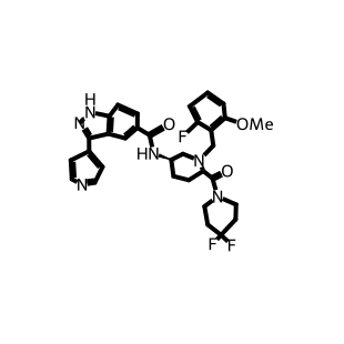 COc1cccc(F)c1CN1C[C@H](NC(=O)c2ccc3[nH]nc(-c4ccncc4)c3c2)CCC1C(=O)N1CCC(F)(F)CC1